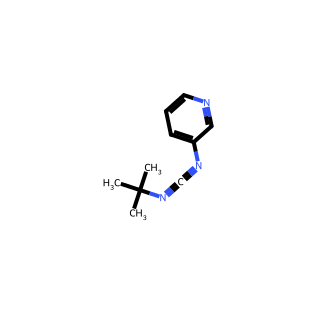 CC(C)(C)N=C=Nc1cccnc1